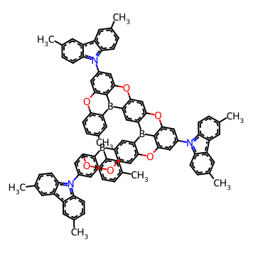 Cc1ccc2c(c1)B1c3cc4c(cc3Oc3cc(-n5c6ccc(C)cc6c6cc(C)ccc65)cc(c31)O2)Oc1cc(-n2c3ccc(C)cc3c3cc(C)ccc32)cc2c1B4c1cc3c(cc1O2)Oc1cc(-n2c4ccc(C)cc4c4cc(C)ccc42)cc2c1B3c1cc(C)ccc1O2